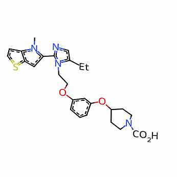 CCc1cnc(-c2cc3sccc3n2C)n1CCOc1cccc(OC2CCN(C(=O)O)CC2)c1